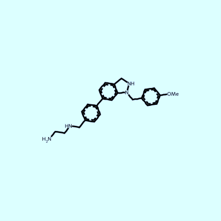 COc1ccc(CN2NCc3ccc(-c4ccc(CNCCN)cc4)cc32)cc1